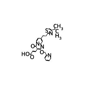 CC(C)c1csc(CCc2ccn3c(=O)c(C=CC(=O)O)c(OCc4ccccn4)nc3c2)n1